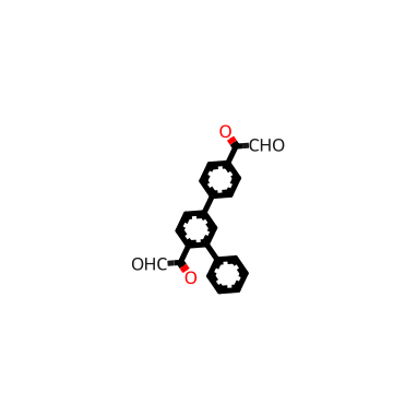 O=CC(=O)c1ccc(-c2ccc(C(=O)C=O)c(-c3ccccc3)c2)cc1